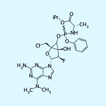 CC(C)OC(=O)[C@H](C)NP(=S)(Oc1ccccc1)OC1[C@@]2(CCl)O[C@@H](n3cnc4c(N(C)C)nc(N)nc43)[C@H](F)[C@@]12O